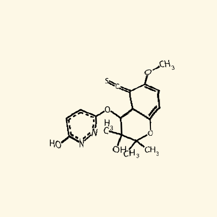 COC1=CC=C2OC(C)(C)C(C)(O)C(Oc3ccc(O)nn3)C2C1=C=S